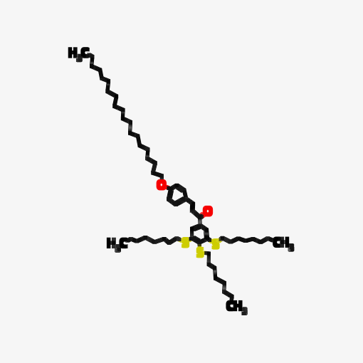 CCCCCCCCCCCCCCCCCCCCOc1ccc(/C=C/C(=O)c2cc(SCCCCCCCC)c(SCCCCCCCC)c(SCCCCCCCC)c2)cc1